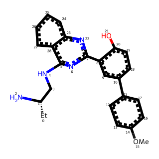 CC[C@H](N)CNc1nc(-c2cc(-c3ccc(OC)cc3)ccc2O)nc2ccccc12